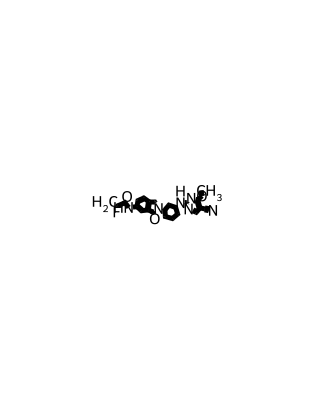 C=C(F)C(=O)Nc1ccc2c(c1)C(=O)N([C@H]1CCC[C@@H](Nc3ncc(C#N)c(OC)n3)C1)C2